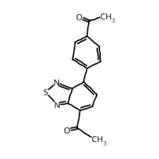 CC(=O)c1ccc(-c2ccc(C(C)=O)c3nsnc23)cc1